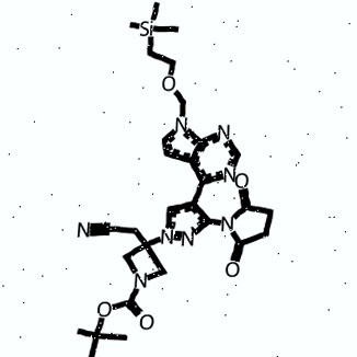 CC(C)(C)OC(=O)N1CC(CC#N)(n2cc(-c3ncnc4c3ccn4COCC[Si](C)(C)C)c(N3C(=O)CCC3=O)n2)C1